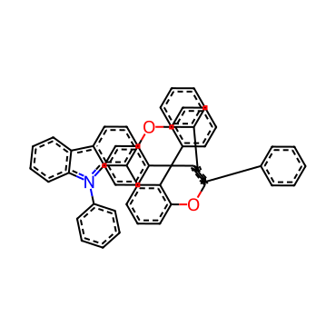 c1ccc(-c2cc3c(c(-c4ccccc4)c2)C2(c4ccccc4Oc4ccccc42)c2c(cccc2-c2cccc4c5ccccc5n(-c5ccccc5)c24)O3)cc1